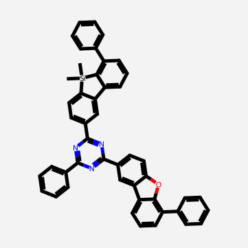 C[Si]1(C)c2ccc(-c3nc(-c4ccccc4)nc(-c4ccc5oc6c(-c7ccccc7)cccc6c5c4)n3)cc2-c2cccc(-c3ccccc3)c21